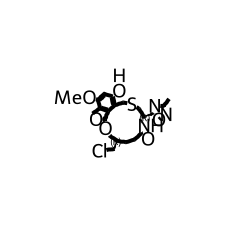 COc1cc(O)c2c(c1C)C(=O)OC[C@H](CCl)CCC(=O)N[C@H](c1nc(C)no1)CSC2